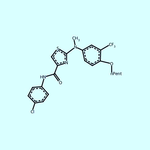 CCCCCOc1ccc(N(C)c2nc(C(=O)Nc3ccc(Cl)cc3)cs2)cc1C(F)(F)F